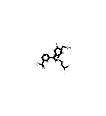 NC(=S)c1cccc(-c2cn(CCC(F)F)c3cc(CO)c(F)cc23)c1